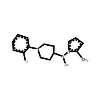 CCc1ccccc1N1CCC(N(C(C)=O)n2cccc2C)CC1